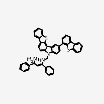 NC(/C=C(\NCn1c2ccc(-c3cccc4c3sc3ccccc34)cc2c2c3sc4ccccc4c3ccc21)c1ccccc1)c1ccccc1